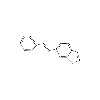 C(=C\c1ccc2ccoc2c1)/c1ccccc1